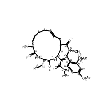 CCCC1CCCC/C=C/CC(C(=O)N(C)Cc2ccc(OC)cc2OC)C[C@@H](C(=O)C(=O)NC(C)C)NC(=O)[C@H](CC(C)C)NC1=O